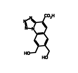 O=C(O)c1cc2cc(CO)c(CO)cc2n2nnnc12